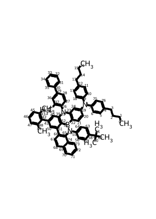 CCCCc1ccc(N(c2ccc(CCCC)cc2)c2ccc3c(c2)N(c2ccc(-c4ccccc4)cc2C)c2cc(-c4c(C)cccc4C)cc4c2B3N(c2ccc(C(C)(C)C)cc2)c2c-4ccc3ccccc23)cc1